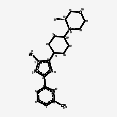 CC(C)n1nc(-c2cccc(C(F)(F)F)n2)nc1C1CCC(N2CCOC[C@H]2C)CC1